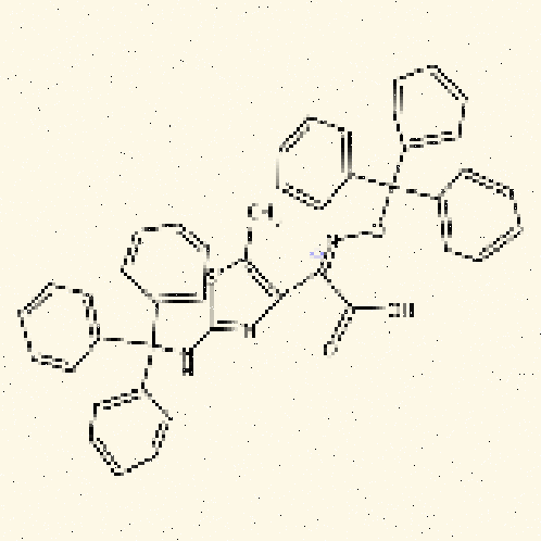 Cc1sc(NC(c2ccccc2)(c2ccccc2)c2ccccc2)nc1/C(=N/OC(c1ccccc1)(c1ccccc1)c1ccccc1)C(=O)O